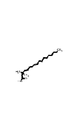 CCCCCCCCCCCCCCCC(C)(C)CC(=O)O